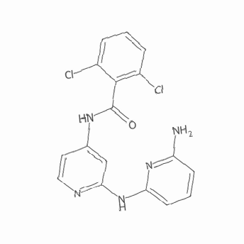 Nc1cccc(Nc2cc(NC(=O)c3c(Cl)cccc3Cl)ccn2)n1